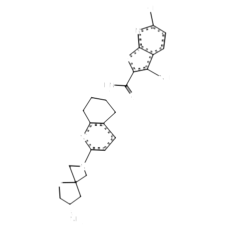 Cc1ccc2c(N)c(C(=O)N[C@H]3CCc4nc(N5CC6(C[C@H](N)CO6)C5)ccc4C3)sc2n1